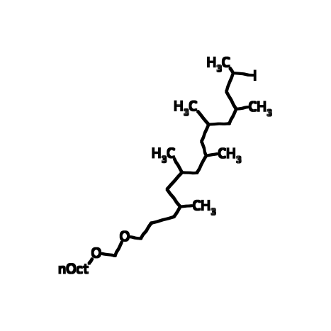 CCCCCCCCOCOCCCC(C)CC(C)CC(C)CC(C)CC(C)CC(C)I